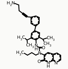 CCCCN(C(=O)Nc1c(C(C)C)cc(-c2cccc(C#CCCN)c2)cc1C(C)C)c1cc2cccnc2[nH]c1=O